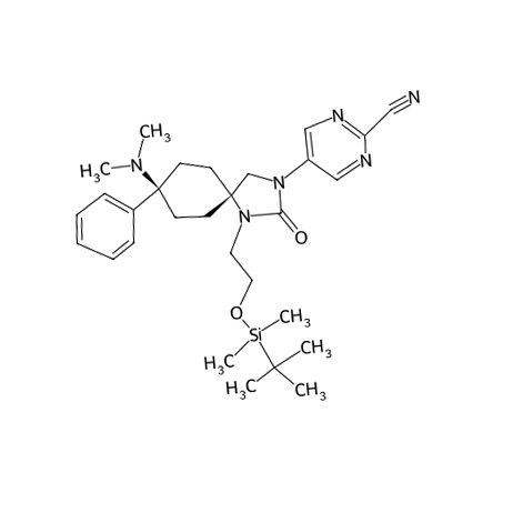 CN(C)[C@]1(c2ccccc2)CC[C@@]2(CC1)CN(c1cnc(C#N)nc1)C(=O)N2CCO[Si](C)(C)C(C)(C)C